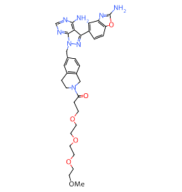 COCCOCCOCCOCCC(=O)N1CCc2cc(Cn3nc(-c4ccc5oc(N)nc5c4)c4c(N)ncnc43)ccc2C1